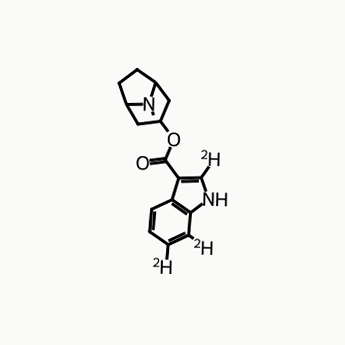 [2H]c1ccc2c(C(=O)OC3CC4CCC(C3)N4C)c([2H])[nH]c2c1[2H]